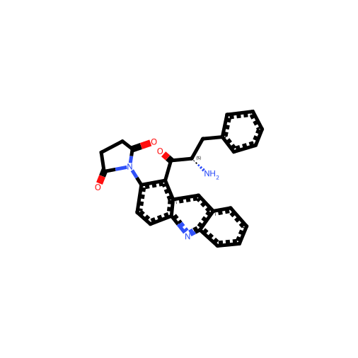 N[C@@H](Cc1ccccc1)C(=O)c1c(N2C(=O)CCC2=O)ccc2nc3ccccc3cc12